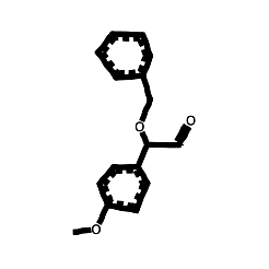 COc1ccc(C([C]=O)OCc2ccccc2)cc1